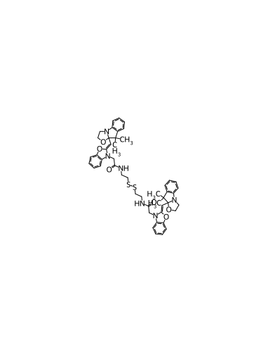 CC1(C)c2ccccc2N2CCOC21/C=C1\Oc2ccccc2N1CC(=O)NCCSSCCNC(=O)CN1/C(=C/C23OCCN2c2ccccc2C3(C)C)Oc2ccccc21